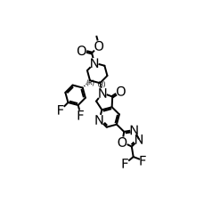 COC(=O)N1CC[C@@H](N2Cc3ncc(-c4nnc(C(F)F)o4)cc3C2=O)[C@H](c2ccc(F)c(F)c2)C1